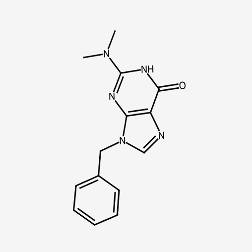 CN(C)c1nc2c(ncn2Cc2ccccc2)c(=O)[nH]1